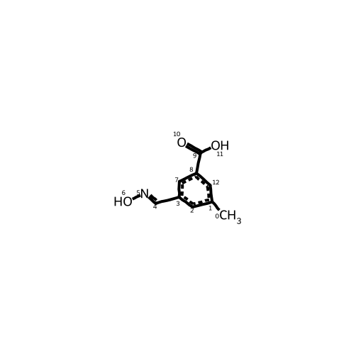 Cc1cc(C=NO)cc(C(=O)O)c1